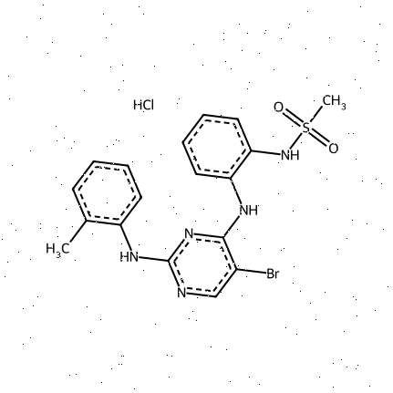 Cc1ccccc1Nc1ncc(Br)c(Nc2ccccc2NS(C)(=O)=O)n1.Cl